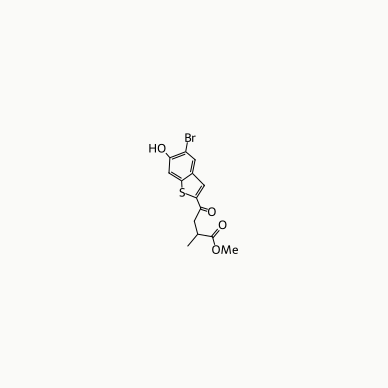 COC(=O)C(C)CC(=O)c1cc2cc(Br)c(O)cc2s1